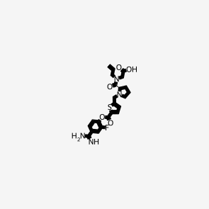 C=CCN(CC(=O)O)C(=O)[C@@H]1CCCN1Cc1ccc(C(=O)Oc2ccc(C(=N)N)cc2F)s1